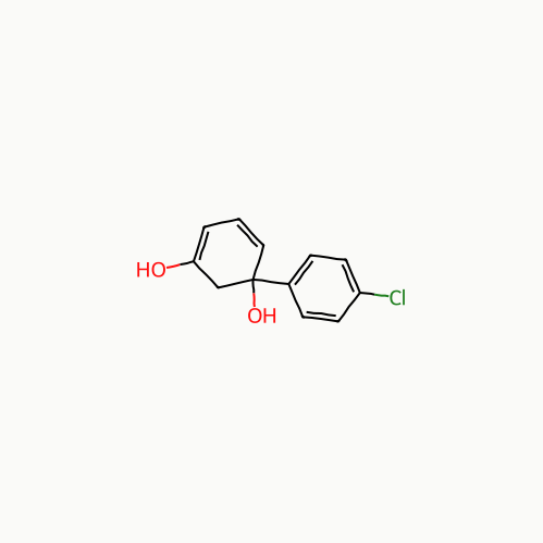 OC1=CC=CC(O)(c2ccc(Cl)cc2)C1